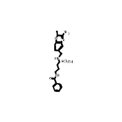 CC1Oc2ccc(CNCCCCNC(=O)c3ccccc3)cc2N=C1N.Cl.Cl